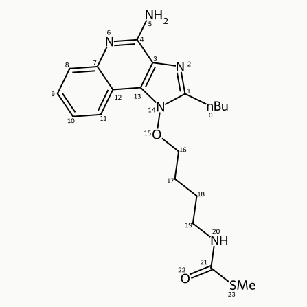 CCCCc1nc2c(N)nc3ccccc3c2n1OCCCCNC(=O)SC